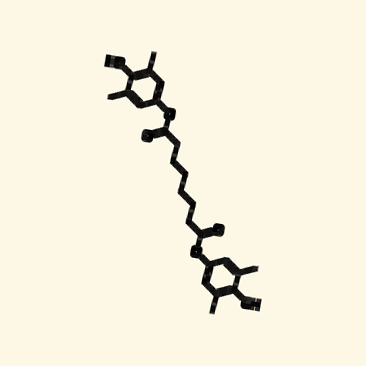 Cc1cc(OC(=O)CCCCCCC(=O)Oc2cc(C)c(O)c(C)c2)cc(C)c1O